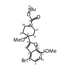 COc1ncc(Br)c2cc(C3(OC)CCN(C(=O)OC(C)(C)C)CC3)oc12